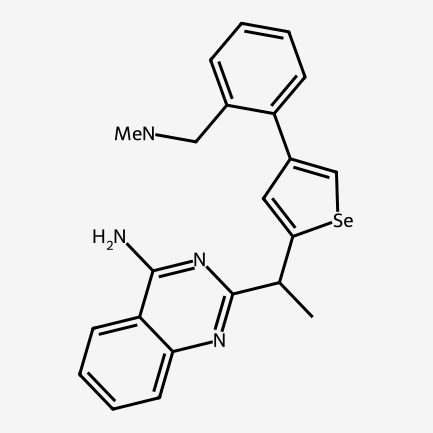 CNCc1ccccc1-c1c[se]c(C(C)c2nc(N)c3ccccc3n2)c1